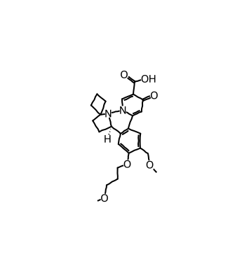 COCCCOc1cc2c(cc1COC)-c1cc(=O)c(C(=O)O)cn1N1[C@@H]2CCC12CCC2